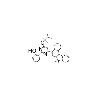 CC(C)C(C)(C)Oc1cc(C2=CC3=C(C4=C(CCC=C4)C3(C)C)C3CCC=CC23)nc(C2=C(O)C=CCC2)n1